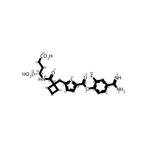 N=C(N)c1ccc(OC(=O)c2ccc(CC3(C(=O)N[C@@H](CCC(=O)O)C(=O)O)CCC3)s2)c(F)c1